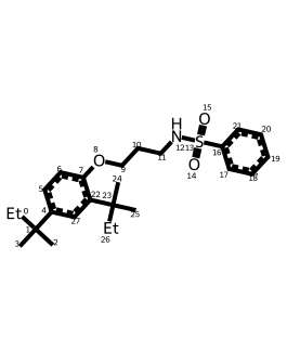 CCC(C)(C)c1ccc(OCCCNS(=O)(=O)c2c[c]ccc2)c(C(C)(C)CC)c1